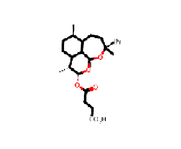 CC(C)[C@]1(C)CCC2C3C(CC[C@H]2C)[C@@H](C)[C@@H](OC(=O)CCC(=O)O)O[C@@H]3O1